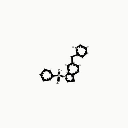 O=S(=O)(c1ccccc1)n1ccc2ccc(Cc3ccccn3)cc21